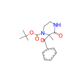 CC(C)(C)OC(=O)N1CCNC(=O)C1(C)C(=O)c1ccccc1